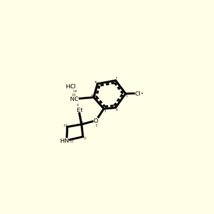 CCC1(Oc2cc(Cl)ccc2C#N)CNC1.Cl